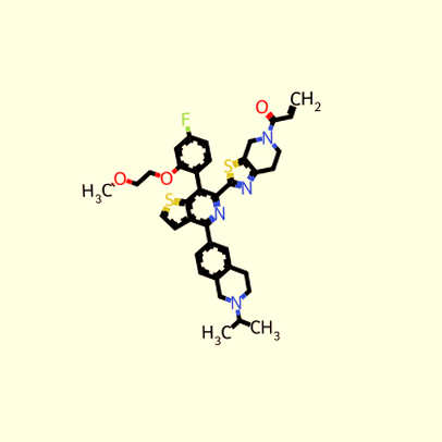 C=CC(=O)N1CCc2nc(-c3nc(-c4ccc5c(c4)CCN(C(C)C)C5)c4ccsc4c3-c3ccc(F)cc3OCCOC)sc2C1